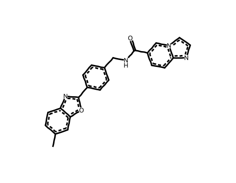 Cc1ccc2nc(-c3ccc(CNC(=O)c4ccc5nccn5c4)cc3)oc2c1